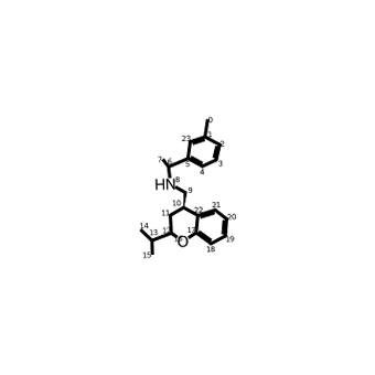 Cc1cccc(C(C)NC[C@@H]2CC(C(C)C)Oc3ccccc32)c1